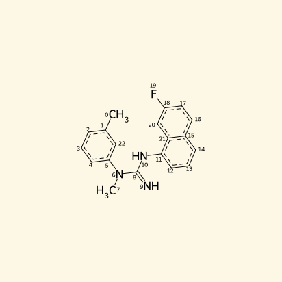 Cc1cccc(N(C)C(=N)Nc2cccc3ccc(F)cc23)c1